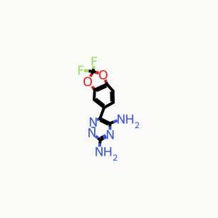 Nc1nnc(-c2ccc3c(c2)OC(F)(F)O3)c(N)n1